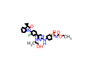 CCOC(=O)N=[SH](=O)c1ccc(Nc2ncc(-c3ccc(NC(=O)C4(c5ccccc5)CC4)c(F)c3)c(NC(C)CO)n2)cc1